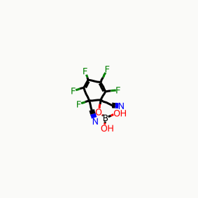 N#CC1(F)C(F)=C(F)C(F)=C(F)C1(C#N)OB(O)O